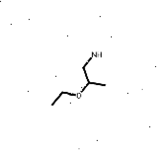 CCOC(C)C[NH]